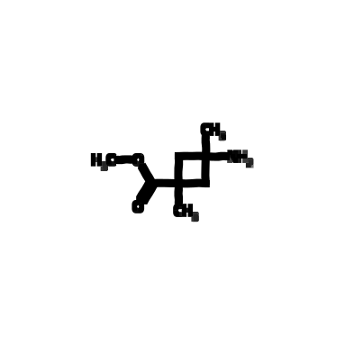 COC(=O)C1(C)CC(C)(N)C1